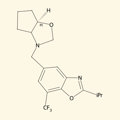 CC(C)c1nc2cc(CN3CO[C@@H]4CCCC43)cc(C(F)(F)F)c2o1